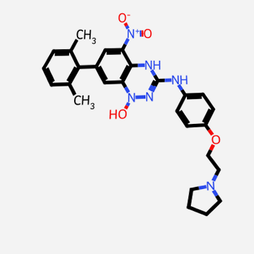 Cc1cccc(C)c1-c1cc2c(c([N+](=O)[O-])c1)NC(Nc1ccc(OCCN3CCCC3)cc1)=NN2O